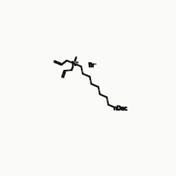 C=CC[N+](C)(CC=C)CCCCCCCCCCCCCCCCCC.[Br-]